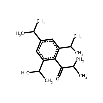 CC(P)C(=O)c1c(C(C)C)cc(C(C)C)cc1C(C)C